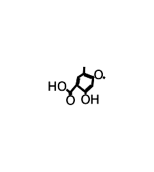 COc1cc(O)c(C(=O)O)cc1C